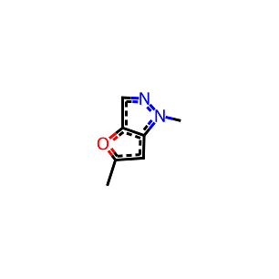 Cc1cc2c(cnn2C)o1